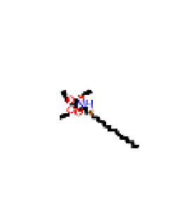 C#CCOCC(COCC#C)(COCC#C)NC(=O)CCSCCCCCCCCCCCCCCCC